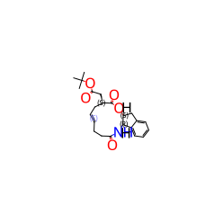 CC(C)(C)OC(=O)C[C@@H]1C/C=C/CCC(=O)N[C@@H]2c3ccccc3C[C@@H]2OC1=O